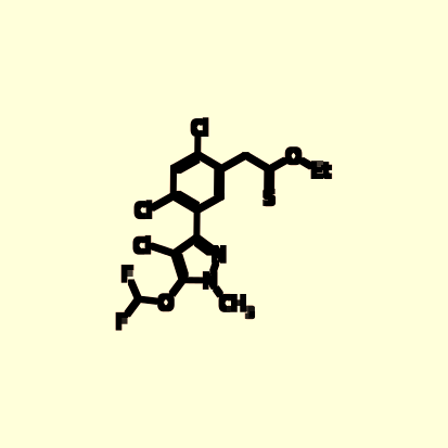 CCOC(=S)Cc1cc(-c2nn(C)c(OC(F)F)c2Cl)c(Cl)cc1Cl